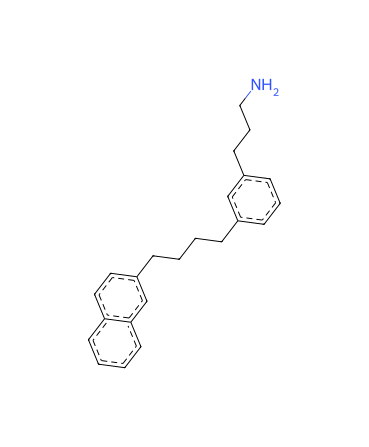 NCCCc1cccc(CCCCc2ccc3ccccc3c2)c1